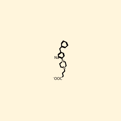 O=C([O-])CCCN1CCN(c2ccc(Cc3ccccc3)cc2)CC1.[Na+]